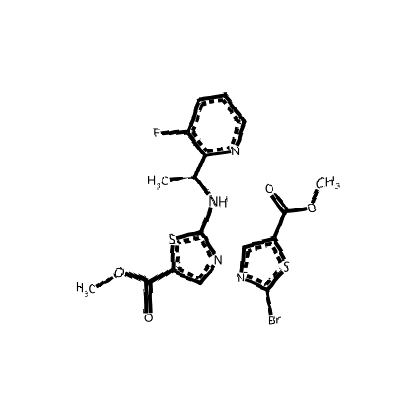 COC(=O)c1cnc(Br)s1.COC(=O)c1cnc(N[C@@H](C)c2ncccc2F)s1